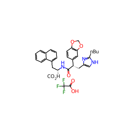 CCCCc1nc(C[C@H](C(=O)N[C@@H](Cc2cccc3ccccc23)C(=O)O)c2ccc3c(c2)OCO3)c[nH]1.O=C(O)C(F)(F)F